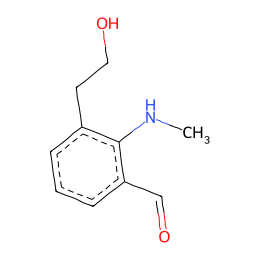 CNc1c(C=O)cccc1CCO